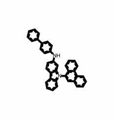 c1ccc(-c2ccc(Nc3ccc4c5ccccc5n(-c5cc6ccccc6c6ccccc56)c4c3)cc2)cc1